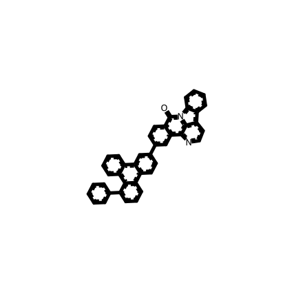 O=c1c2ccc(-c3ccc4c(c3)c3ccccc3c3c(-c5ccccc5)cccc43)cc2c2nccc3c4ccccc4n1c32